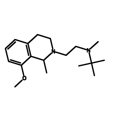 COc1cccc2c1C(C)N(CCN(C)C(C)(C)C)CC2